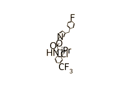 CC(C)C(Nc1ccc(C(F)(F)F)cc1Cl)C(=O)OCn1ccc(Cc2ccc(F)cc2)c1